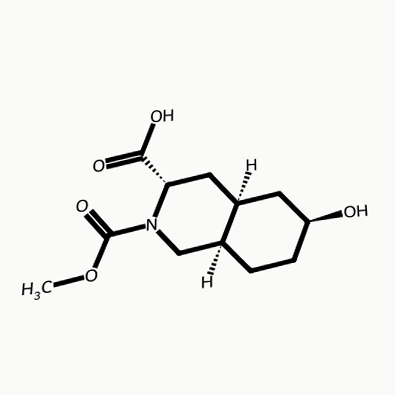 COC(=O)N1C[C@@H]2CC[C@H](O)C[C@@H]2C[C@H]1C(=O)O